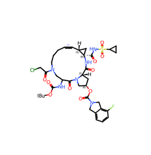 CC(C)(C)OC(=O)NC1CN(C(=O)CCl)CCC/C=C\[C@@H]2C[C@@]2(C(=O)NS(=O)(=O)C2CC2)NC(=O)[C@@H]2C[C@@H](OC(=O)N3Cc4cccc(F)c4C3)CN2C1=O